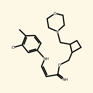 Cc1ccc(N/C=C\C(=N)OCC2CCC2CN2CCOCC2)cc1Cl